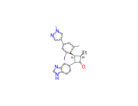 CC[C@H]1C(=O)C(c2ccc3[nH]cnc3c2)[C@H]1c1c(C)cc(-c2cnn(C)c2)cc1I